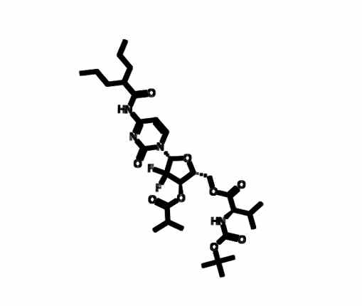 CCCC(CCC)C(=O)Nc1ccn([C@@H]2O[C@H](COC(=O)[C@H](NC(=O)OC(C)(C)C)C(C)C)[C@@H](OC(=O)C(C)C)C2(F)F)c(=O)n1